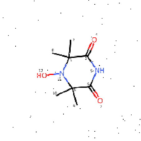 CC1(C)C(=O)NC(=O)C(C)(C)N1O